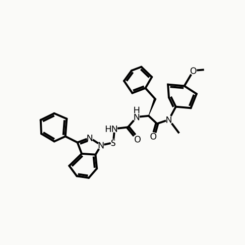 COc1ccc(N(C)C(=O)[C@H](Cc2ccccc2)NC(=O)NSn2nc(-c3ccccc3)c3ccccc32)cc1